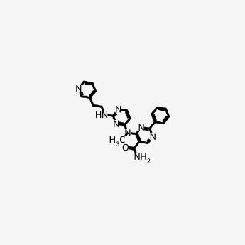 CN(c1ccnc(NCCc2cccnc2)n1)c1nc(-c2ccccc2)ncc1C(N)=O